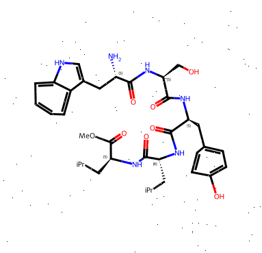 COC(=O)[C@H](CC(C)C)NC(=O)[C@@H](CC(C)C)NC(=O)[C@H](Cc1ccc(O)cc1)NC(=O)[C@H](CO)NC(=O)[C@@H](N)Cc1c[nH]c2ccccc12